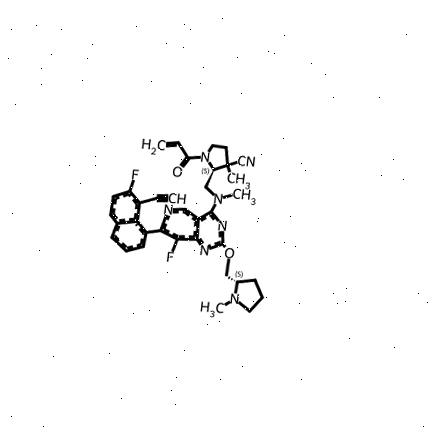 C#Cc1c(F)ccc2cccc(-c3ncc4c(N(C)C[C@H]5N(C(=O)C=C)CCC5(C)C#N)nc(OC[C@@H]5CCCN5C)nc4c3F)c12